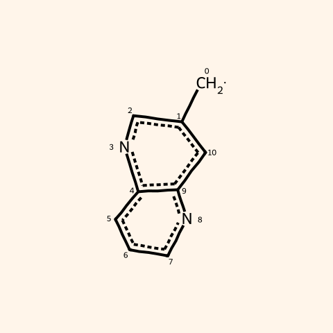 [CH2]c1cnc2cccnc2c1